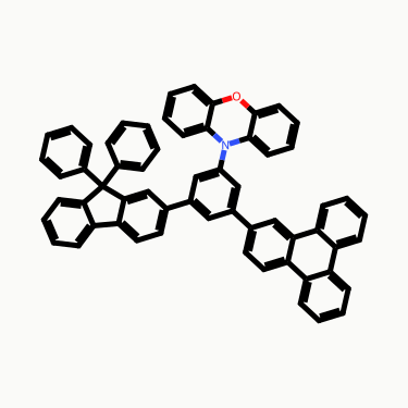 c1ccc(C2(c3ccccc3)c3ccccc3-c3ccc(-c4cc(-c5ccc6c7ccccc7c7ccccc7c6c5)cc(N5c6ccccc6Oc6ccccc65)c4)cc32)cc1